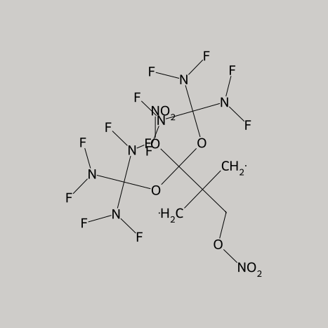 [CH2]C([CH2])(CO[N+](=O)[O-])C(O[N+](=O)[O-])(OC(N(F)F)(N(F)F)N(F)F)OC(N(F)F)(N(F)F)N(F)F